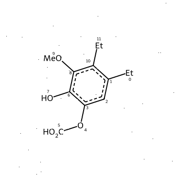 CCc1cc(OC(=O)O)c(O)c(OC)c1CC